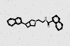 O=C(NCCN1CC2CC(c3ccc4ccccc4c3)C2C1)c1cccc2ccccc12